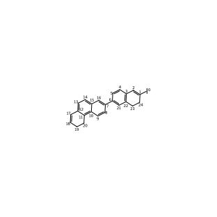 IC1=Cc2ccc(-c3ccc4c5c(ccc4c3)C=CCC5)cc2CC1